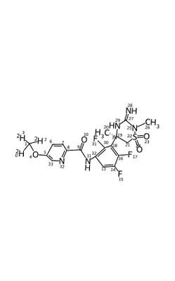 [2H]C([2H])([2H])Oc1ccc(C(=O)Nc2cc(F)c(F)c([C@]3(C)CS(=O)(=O)N(C)C(=N)N3)c2F)nc1